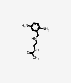 CC(=O)NCCNCc1cc(N)ccc1N